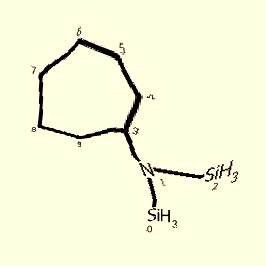 [SiH3]N([SiH3])C1CCCCCC1